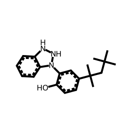 CC(C)(C)CC(C)(C)c1ccc(O)c(N2NNc3ccccc32)c1